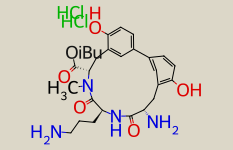 CC(C)COC(=O)[C@@H]1Cc2cc(ccc2O)-c2ccc(O)c(c2)C[C@H](N)C(=O)N[C@@H](CCCN)C(=O)N1C.Cl.Cl